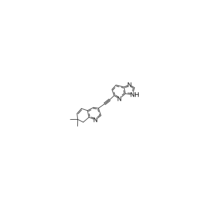 CC1(C)C=Cc2cc(C#Cc3ccc4nc[nH]c4n3)cnc2C1